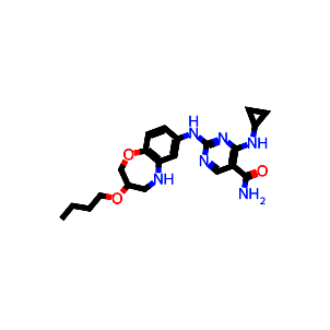 CCCCOC1CNc2cc(Nc3ncc(C(N)=O)c(NC4CC4)n3)ccc2OC1